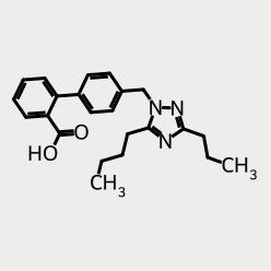 CCCCc1nc(CCC)nn1Cc1ccc(-c2ccccc2C(=O)O)cc1